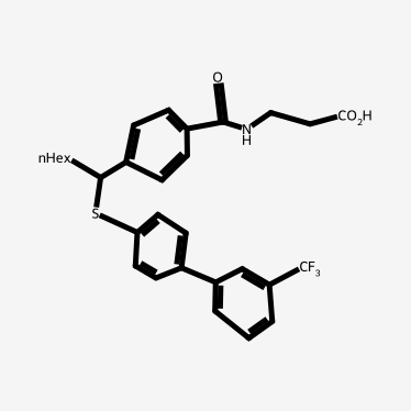 CCCCCCC(Sc1ccc(-c2cccc(C(F)(F)F)c2)cc1)c1ccc(C(=O)NCCC(=O)O)cc1